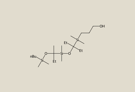 CCCC[Si](C)(C)OC(C)(CC)[Si](C)(C)OC(CC)(CC)[Si](C)(C)CCCO